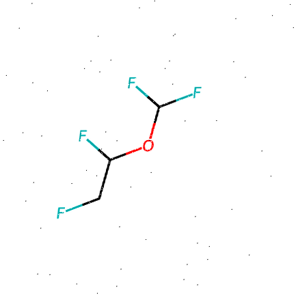 FCC(F)OC(F)F